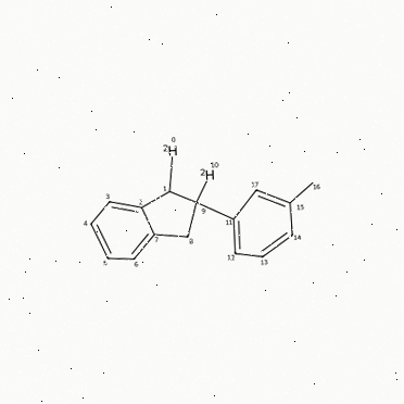 [2H]C1c2ccccc2CC1([2H])c1cccc(C)c1